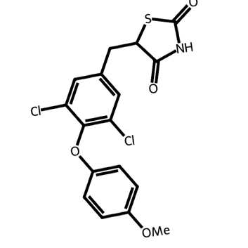 COc1ccc(Oc2c(Cl)cc(CC3SC(=O)NC3=O)cc2Cl)cc1